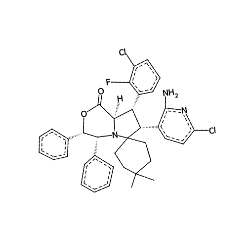 CC1(C)CCC2(CC1)[C@@H](c1ccc(Cl)nc1N)[C@@H](c1cccc(Cl)c1F)[C@@H]1C(=O)O[C@@H](c3ccccc3)[C@@H](c3ccccc3)N12